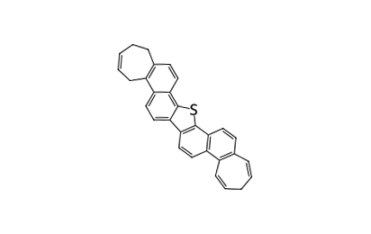 C1=Cc2ccc3c(ccc4c5ccc6c7c(ccc6c5sc34)CCC=CC7)c2C=CC1